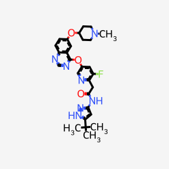 CN1CCC(Oc2ccc3ncnc(Oc4cnc(CC(=O)Nc5cc(C(C)(C)C)[nH]n5)c(F)c4)c3c2)CC1